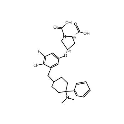 CN(C)C1(c2ccccc2)CCC(Cc2cc(O[C@H]3C[C@@H](C(=O)O)N(C(=O)O)C3)cc(F)c2Cl)CC1